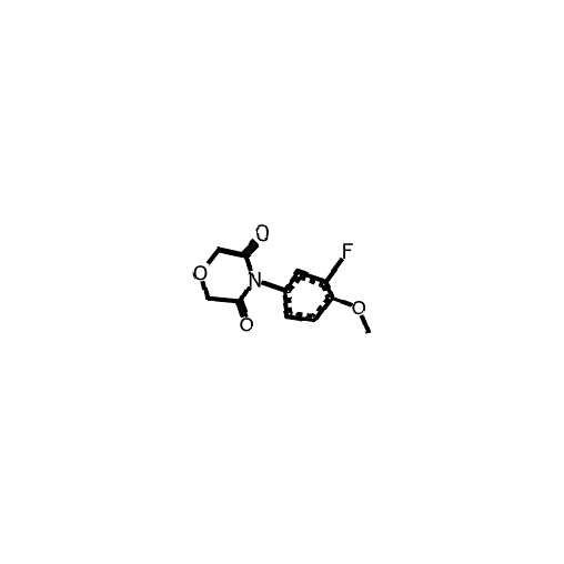 COc1ccc(N2C(=O)COCC2=O)cc1F